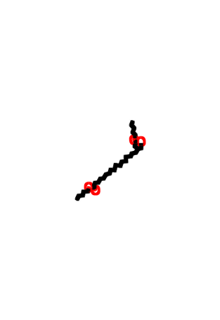 CCCCCOC(=O)CCCCCCCCCCCCCCCCC(CC)CC(=O)OCCCCC